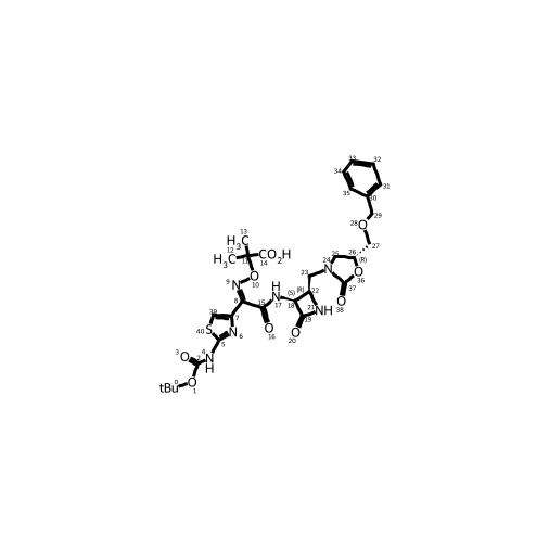 CC(C)(C)OC(=O)Nc1nc(C(=NOC(C)(C)C(=O)O)C(=O)N[C@@H]2C(=O)N[C@@H]2CN2C[C@H](COCc3ccccc3)OC2=O)cs1